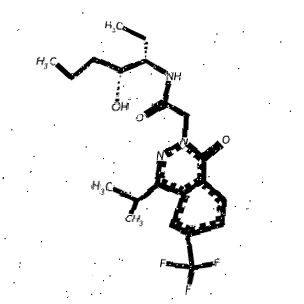 CCC[C@@H](O)[C@H](CC)NC(=O)Cn1nc(C(C)C)c2cc(C(F)(F)F)ccc2c1=O